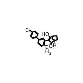 Cc1ccc(-c2ccc(Cl)cc2)cc1C1=C(O)C2CC[C@H](C2)C1=O